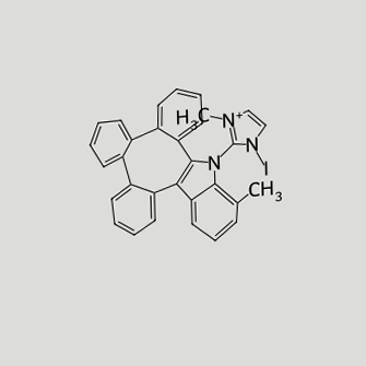 Cc1cccc2c3c(n(-c4n(I)cc[n+]4C)c12)-c1ccccc1-c1ccccc1-c1ccccc1-3